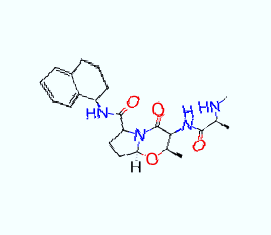 CN[C@@H](C)C(=O)N[C@@H]1C(=O)N2C(C(=O)N[C@@H]3CCCc4ccccc43)CC[C@@H]2O[C@@H]1C